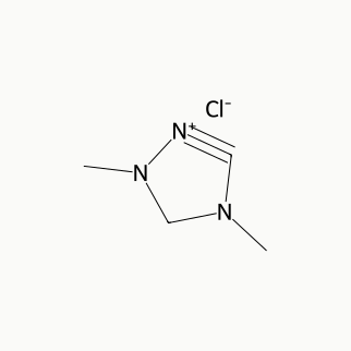 CN1C#[N+]N(C)C1.[Cl-]